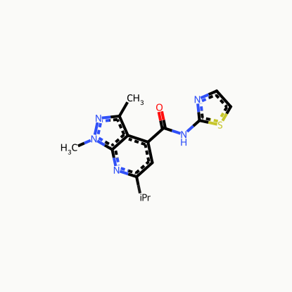 Cc1nn(C)c2nc(C(C)C)cc(C(=O)Nc3nccs3)c12